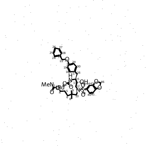 CNC(=O)OCCCC(C)(C)CN(C[C@@H](O)[C@H](Cc1ccc(OCc2ccccc2)cc1)NC(=O)OC(C)(C)C)S(=O)(=O)c1ccc2c(c1)OCO2